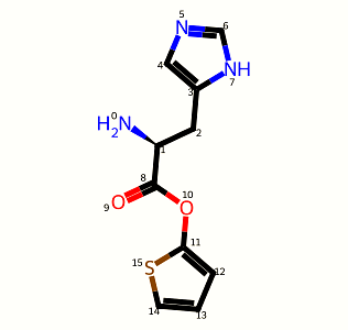 N[C@@H](Cc1cnc[nH]1)C(=O)Oc1cccs1